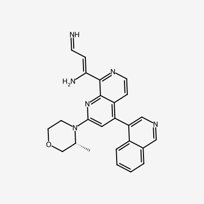 C[C@@H]1COCCN1c1cc(-c2cncc3ccccc23)c2ccnc(/C(N)=C/C=N)c2n1